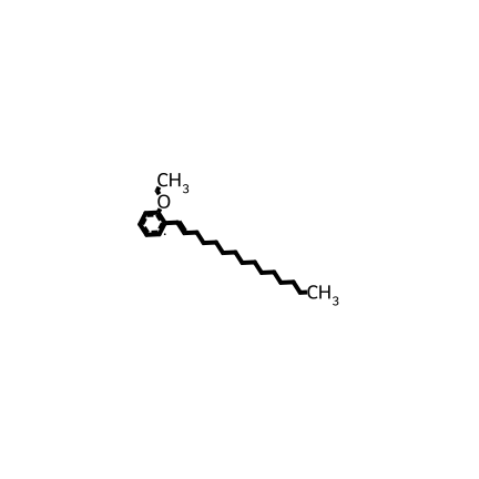 CCCCCCCCCCCCCC=Cc1[c]cccc1OCC